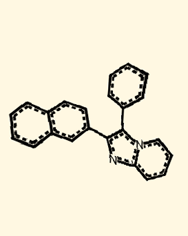 c1ccc(-c2c(-c3ccc4ccccc4c3)nc3ccccn23)cc1